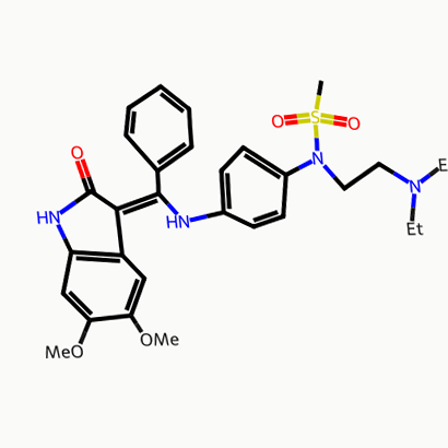 CCN(CC)CCN(c1ccc(NC(=C2C(=O)Nc3cc(OC)c(OC)cc32)c2ccccc2)cc1)S(C)(=O)=O